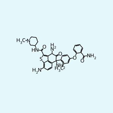 Cc1cc(Oc2ccccc2C(N)=O)ccc1C1(N)C(=O)C(N)c2c(C(=O)NC3CCCN(C)C3)sc3c(N)ccc1c23